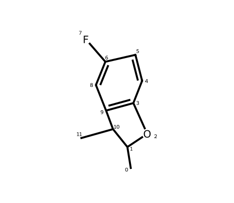 CC1Oc2ccc(F)cc2C1C